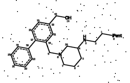 CCCC(C)CCNC1CCCN(Cc2cc(CO)ccc2-c2ccccc2)C1